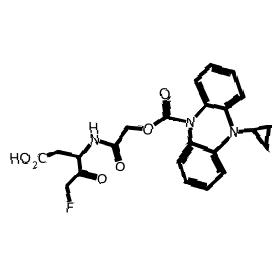 O=C(O)CC(NC(=O)COC(=O)N1c2ccccc2N(C2CC2)c2ccccc21)C(=O)CF